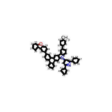 Cc1ccc(-c2ccc3c(c2)c2cc4c5cc(-c6ccc7oc8ccccc8c7c6)ccc5c5ccccc5c4cc2n3-c2cc(-c3ccccc3)nc(-c3ccccc3)c2)cc1